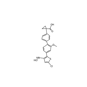 COc1cc(-c2sc(Cl)cc2NO)ccc1-c1ccc(C2(C(=O)O)CC2)cc1